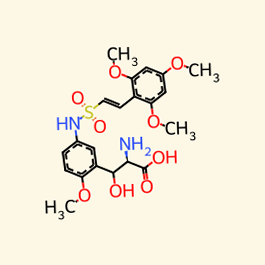 COc1cc(OC)c(/C=C/S(=O)(=O)Nc2ccc(OC)c(C(O)[C@@H](N)C(=O)O)c2)c(OC)c1